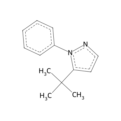 CC(C)(C)c1ccnn1-c1ccccc1